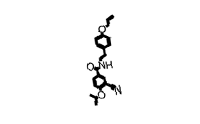 C=CCOc1ccc(CCNC(=O)c2ccc(OC(C)C)c(C#N)c2)cc1